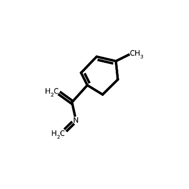 C=NC(=C)C1=CC=C(C)CC1